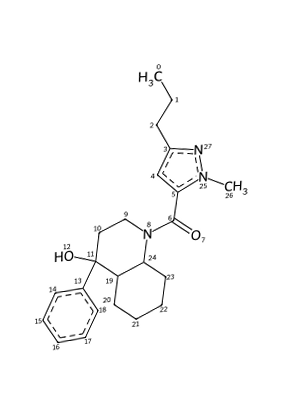 CCCc1cc(C(=O)N2CCC(O)(c3ccccc3)C3CCCCC32)n(C)n1